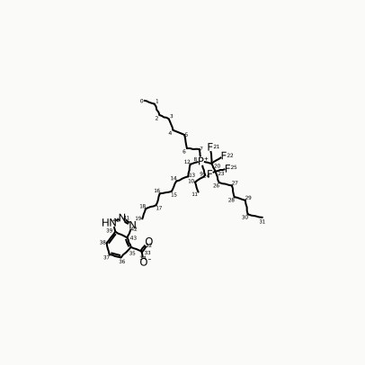 CCCCCCCC[P+](CCC)(CCCCCCCC)C(F)(F)C(F)(F)CCCCCC.O=C([O-])c1cccc2[nH]nnc12